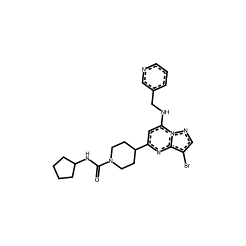 O=C(NC1CCCC1)N1CCC(c2cc(NCc3cccnc3)n3ncc(Br)c3n2)CC1